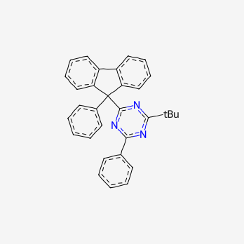 CC(C)(C)c1nc(-c2ccccc2)nc(C2(c3ccccc3)c3ccccc3-c3ccccc32)n1